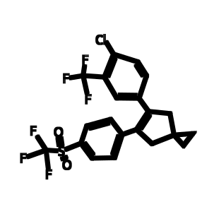 O=S(=O)(c1ccc(C2=C(c3ccc(Cl)c(C(F)(F)F)c3)CC3(CC3)C2)cc1)C(F)(F)F